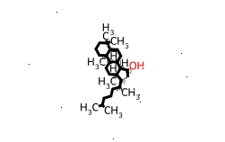 CC(C)CCC[C@@H](C)[C@H]1C[C@H](O)[C@H]2[C@@H]3CC=C4C(C)(C)CCC[C@]4(C)[C@H]3CC[C@@]21C